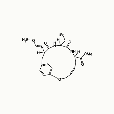 BOC=N[C@H]1Cc2ccc(cc2)OCC=CC[C@@H](C(=O)OC)NC(=O)[C@H](CC(C)C)NC1=O